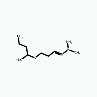 CCCC(C)SCC/C=N/N(C)N